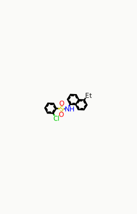 CCc1cccc2c(NS(=O)(=O)c3ccccc3Cl)cccc12